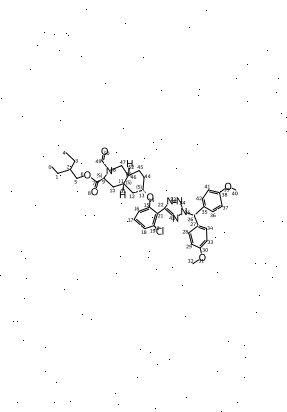 CCC(CC)COC(=O)[C@@H]1C[C@H]2C[C@@H](Oc3cccc(Cl)c3-c3nnn(C(c4ccc(OC)cc4)c4ccc(OC)cc4)n3)CC[C@H]2CN1C=O